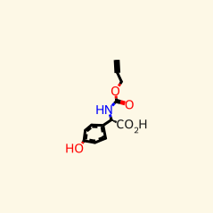 C#CCOC(=O)N[C@@H](C(=O)O)c1ccc(O)cc1